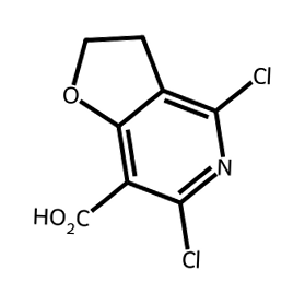 O=C(O)c1c(Cl)nc(Cl)c2c1OCC2